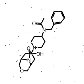 CC(=O)N(Cc1ccccc1)C1CCN(C2CC3COCC(C2)N3C(=O)O)CC1